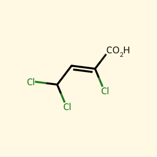 O=C(O)C(Cl)=CC(Cl)Cl